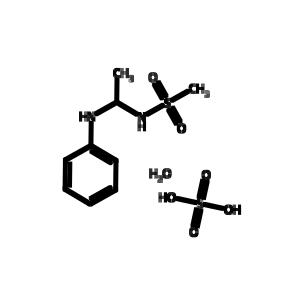 CC(Nc1ccccc1)NS(C)(=O)=O.O.O=S(=O)(O)O